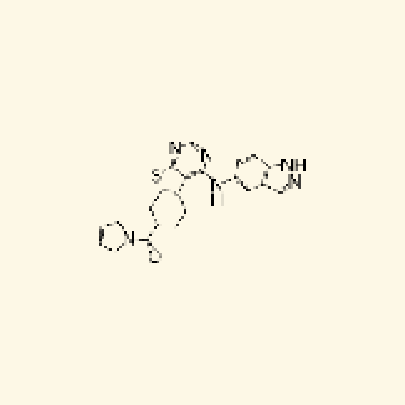 O=C(C1CCc2c(sc3ncnc(Nc4ccc5[nH]ncc5c4)c23)C1)N1CC=CC1